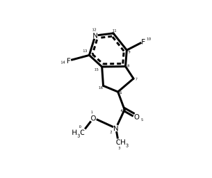 CON(C)C(=O)C1Cc2c(F)cnc(F)c2C1